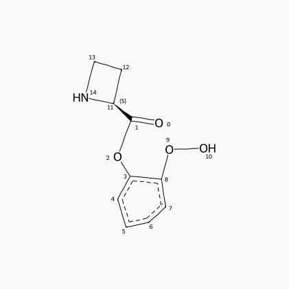 O=C(Oc1ccccc1OO)[C@@H]1CCN1